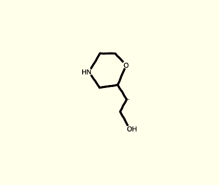 OC[CH]C1CNCCO1